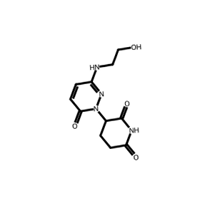 O=C1CCC(n2nc(NCCO)ccc2=O)C(=O)N1